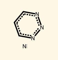 [N].c1cnnnc1